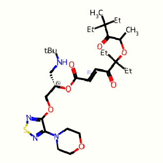 CCC(C)(CC)C(=O)C(C)OC(CC)(CC)C(=O)/C=C/C(=O)O[C@@H](CNC(C)(C)C)COc1nsnc1N1CCOCC1